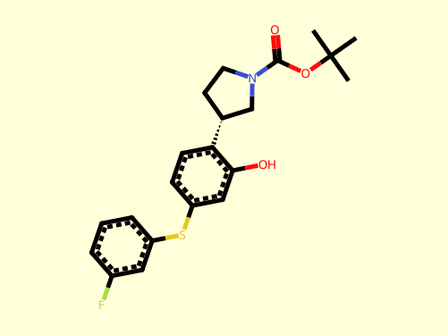 CC(C)(C)OC(=O)N1CC[C@@H](c2ccc(Sc3cccc(F)c3)cc2O)C1